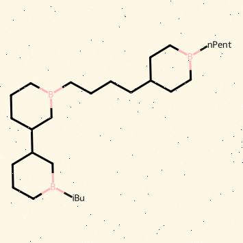 CCCCCB1CCC(CCCCB2CCCC(C3CCCB(C(C)CC)C3)C2)CC1